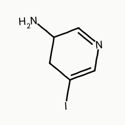 NC1C=NC=C(I)C1